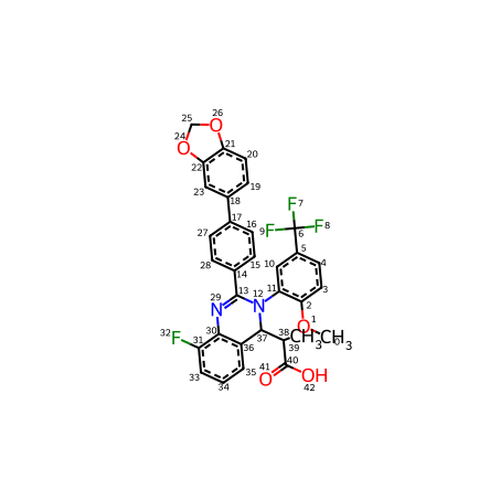 COc1ccc(C(F)(F)F)cc1N1C(c2ccc(-c3ccc4c(c3)OCO4)cc2)=Nc2c(F)cccc2C1C(C)C(=O)O